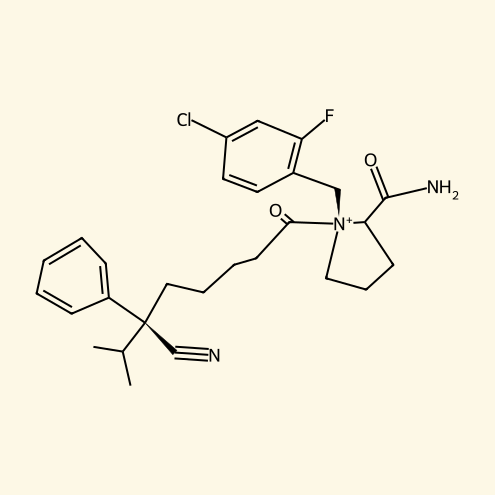 CC(C)[C@@](C#N)(CCCCC(=O)[N@@+]1(Cc2ccc(Cl)cc2F)CCCC1C(N)=O)c1ccccc1